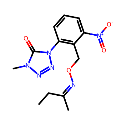 CCC(C)=NOCc1c(-n2nnn(C)c2=O)cccc1[N+](=O)[O-]